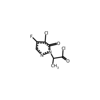 CC(C(=O)Cl)n1ncc(F)c(Cl)c1=O